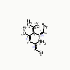 CC/C=C(N)/N=C(/OCC)C(/N=C\C(C)C)=C(C)C